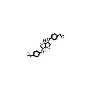 O=Cc1ccc(O[C@H]2CO[C@H]3[C@@H]2OC[C@H]3Oc2ccc(C=O)cc2)cc1